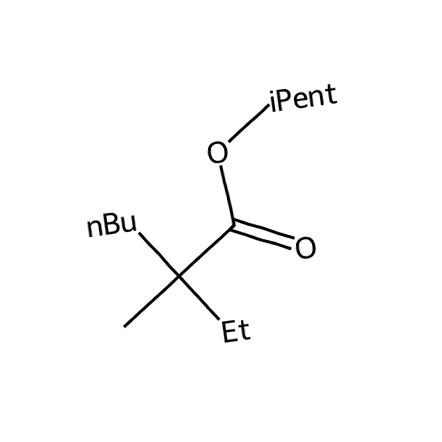 CCCCC(C)(CC)C(=O)OC(C)CCC